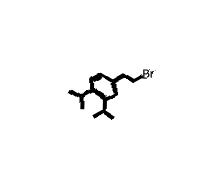 CC(C)c1ccc(CCBr)cc1C(C)C